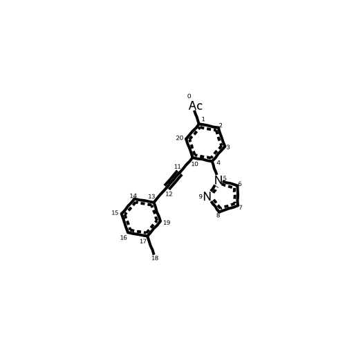 CC(=O)c1ccc(-n2cccn2)c(C#Cc2cccc(C)c2)c1